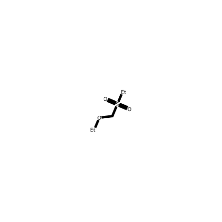 CCOCS(=O)(=O)CC